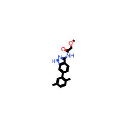 COCC(=O)Nc1n[nH]c2cc(-c3cc(C)ccc3C)ccc12